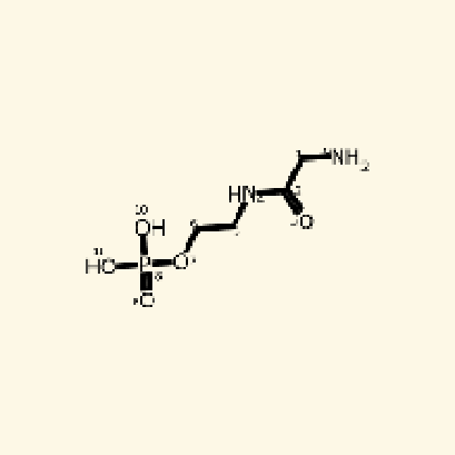 NCC(=O)NCCOP(=O)(O)O